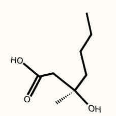 CCCC[C@@](C)(O)CC(=O)O